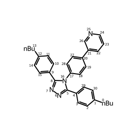 CCCCc1ccc(-c2nnc(-c3ccc(CCCC)cc3)n2-c2ccc(-c3cccnc3)cc2)cc1